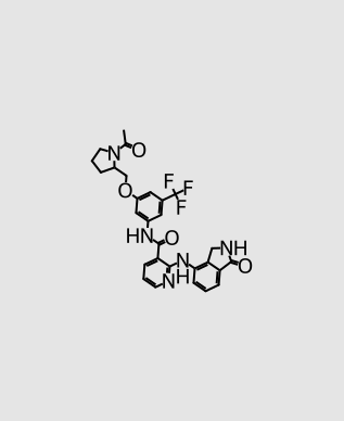 CC(=O)N1CCCC1COc1cc(NC(=O)c2cccnc2Nc2cccc3c2CNC3=O)cc(C(F)(F)F)c1